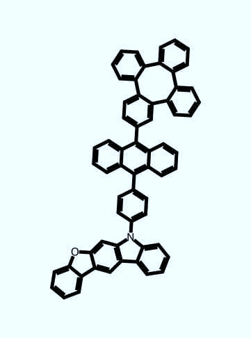 c1ccc2c(c1)-c1ccccc1-c1ccc(-c3c4ccccc4c(-c4ccc(-n5c6ccccc6c6cc7c(cc65)oc5ccccc57)cc4)c4ccccc34)cc1-c1ccccc1-2